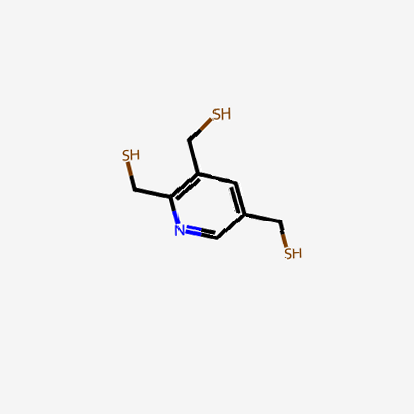 SCc1cnc(CS)c(CS)c1